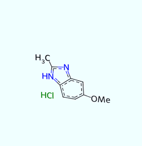 COc1ccc2[nH]c(C)nc2c1.Cl